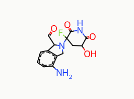 Nc1cccc2c1CN(C1(F)CC(O)C(=O)NC1=O)C2C=O